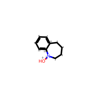 ON1CCCCc2ccccc21